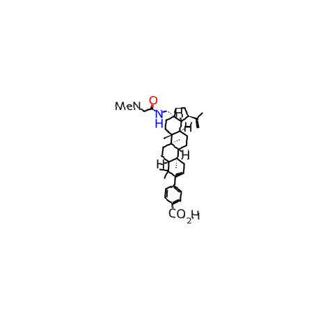 C=C(C)[C@@H]1CC[C@]2(CNC(=O)CNC)CC[C@]3(C)[C@H](CC[C@@H]4[C@@]5(C)CC=C(c6ccc(C(=O)O)cc6)C(C)(C)[C@@H]5CC[C@]43C)[C@@H]12